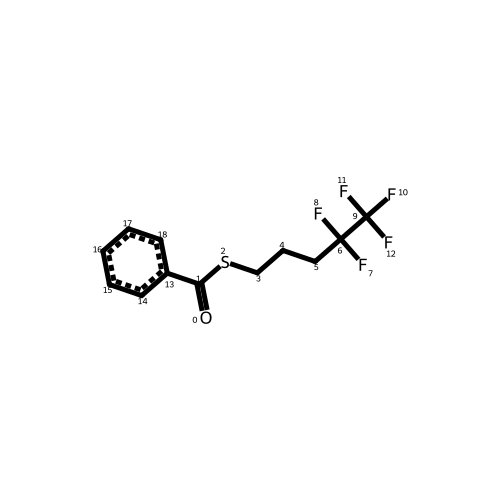 O=C(SCCCC(F)(F)C(F)(F)F)c1ccccc1